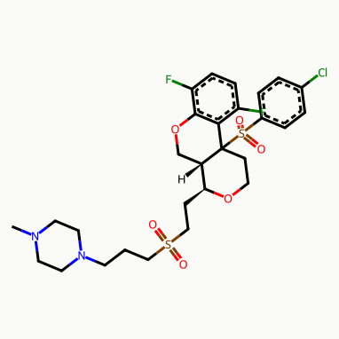 CN1CCN(CCCS(=O)(=O)CC[C@@H]2OCCC3(S(=O)(=O)c4ccc(Cl)cc4)c4c(F)ccc(F)c4OC[C@@H]23)CC1